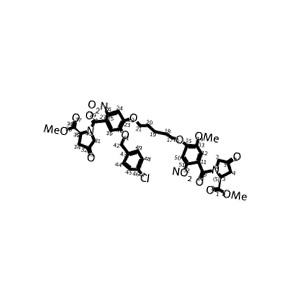 COC(=O)[C@@H]1CC(=O)CN1C(=O)c1cc(OC)c(OCCCCCOc2cc([N+](=O)[O-])c(C(=O)N3CC(=O)C[C@H]3C(=O)OC)cc2OCc2ccc(Cl)cc2)cc1[N+](=O)[O-]